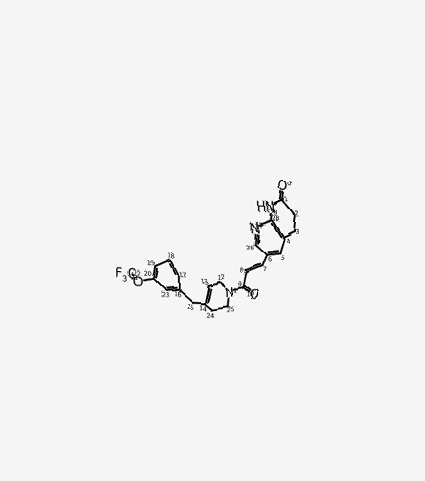 O=C1CCc2cc(C=CC(=O)N3CC=C(Cc4cccc(OC(F)(F)F)c4)CC3)cnc2N1